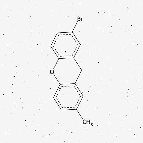 Cc1ccc2c(c1)Cc1cc(Br)ccc1O2